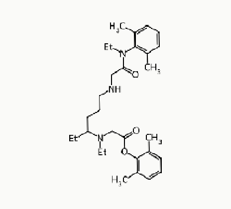 CCC(CCCNCC(=O)N(CC)c1c(C)cccc1C)N(CC)CC(=O)Oc1c(C)cccc1C